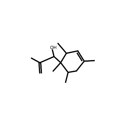 C=C(C)C(O)C1(C)C(C)C=C(C)CC1C